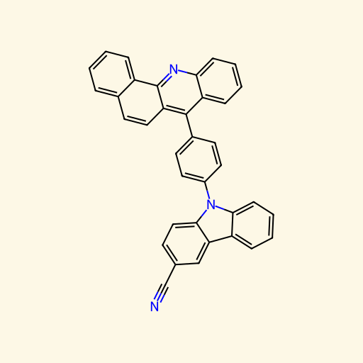 N#Cc1ccc2c(c1)c1ccccc1n2-c1ccc(-c2c3ccccc3nc3c2ccc2ccccc23)cc1